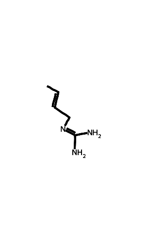 CC=CCN=C(N)N